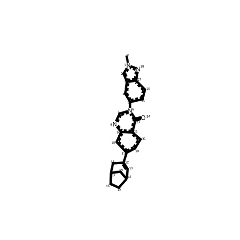 Cn1cc2cc(-n3cnc4cc(C5=CC6CCC(C5)C6)ccc4c3=O)ccc2n1